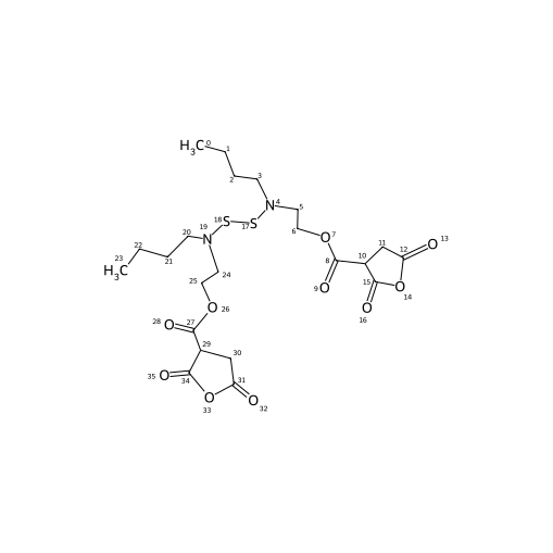 CCCCN(CCOC(=O)C1CC(=O)OC1=O)SSN(CCCC)CCOC(=O)C1CC(=O)OC1=O